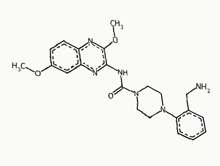 COc1ccc2nc(OC)c(NC(=O)N3CCN(c4ccccc4CN)CC3)nc2c1